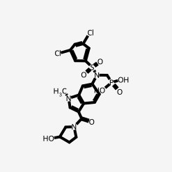 Cn1cc(C(=O)N2CCC(O)C2)c2ccc(N(CP(=O)(O)O)S(=O)(=O)c3cc(Cl)cc(Cl)c3)cc21